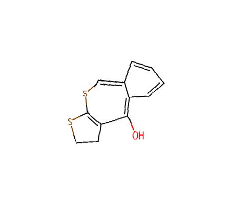 OC1=c2ccccc2=CSC2=C1CCS2